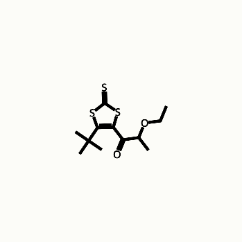 CCOC(C)C(=O)c1sc(=S)sc1C(C)(C)C